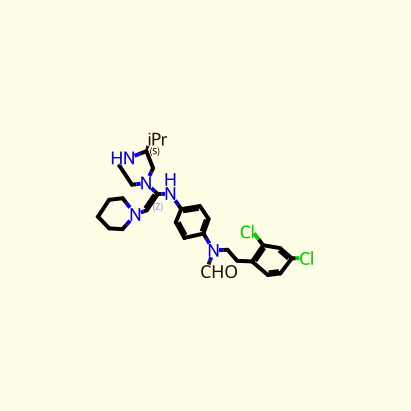 CC(C)[C@H]1CN(/C(=C\N2CCCCC2)Nc2ccc(N(C=O)CCc3ccc(Cl)cc3Cl)cc2)CCN1